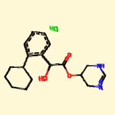 Cl.O=C(OC1CN=CNC1)C(O)c1ccccc1C1CCCCC1